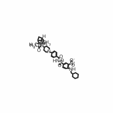 CC(=O)N(C1CCN(c2ccc(C(=O)NS(=O)(=O)c3ccc(NCC4CCCCC4)c([N+](=O)[O-])c3)cc2)CC1)[C@H]1C[C@@H]2CC([C@H]1C)C2(C)C